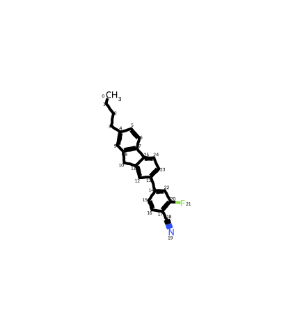 CCCCc1ccc2c(c1)Cc1cc(-c3ccc(C#N)c(F)c3)ccc1-2